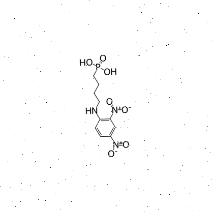 O=[N+]([O-])c1ccc(NCCCCP(=O)(O)O)c([N+](=O)[O-])c1